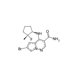 C[C@@]1(F)CCC[C@H]1Nc1c(C(N)=O)cnn2cc(Br)cc12